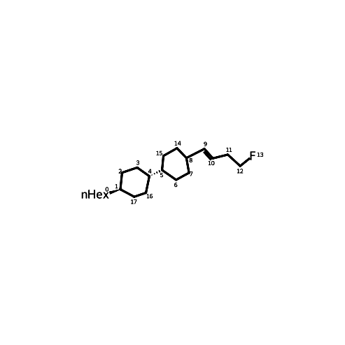 CCCCCC[C@H]1CC[C@H](C2CCC(/C=C/CCF)CC2)CC1